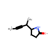 CC#CC(OC(C)=O)C1CCC(=O)N1